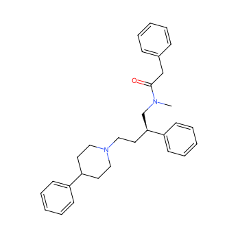 CN(C[C@H](CCN1CCC(c2ccccc2)CC1)c1ccccc1)C(=O)Cc1ccccc1